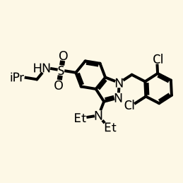 CCN(CC)c1nn(Cc2c(Cl)cccc2Cl)c2ccc(S(=O)(=O)NCC(C)C)cc12